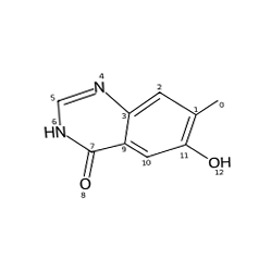 Cc1cc2nc[nH]c(=O)c2cc1O